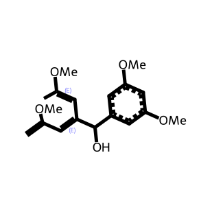 C=C(/C=C(\C=C(/C)OC)C(O)c1cc(OC)cc(OC)c1)OC